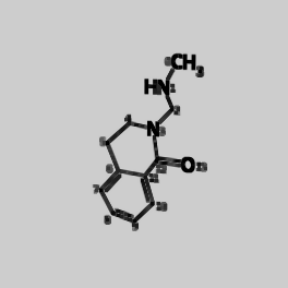 CNCN1CCc2ccccc2C1=O